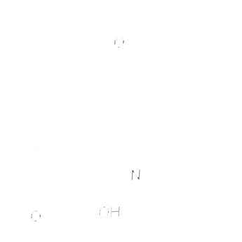 COCc1cccnc1C1(C(=O)O)CC1